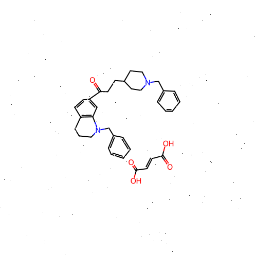 O=C(CCC1CCN(Cc2ccccc2)CC1)c1ccc2c(c1)N(Cc1ccccc1)CCC2.O=C(O)C=CC(=O)O